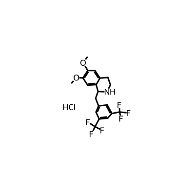 COc1cc2c(cc1OC)C(Cc1cc(C(F)(F)F)cc(C(F)(F)F)c1)NCC2.Cl